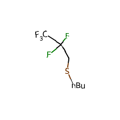 [CH2]CCCSCC(F)(F)C(F)(F)F